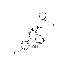 CN1CCC[C@H]1CNc1nnc(-c2ccc(C(F)(F)F)cc2O)c2ccncc12